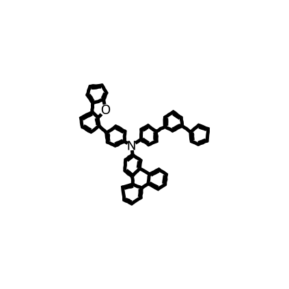 c1ccc(-c2cccc(-c3ccc(N(c4ccc(-c5cccc6c5oc5ccccc56)cc4)c4ccc5c6ccccc6c6ccccc6c5c4)cc3)c2)cc1